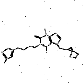 Cc1cc(CCCCn2c(=O)c3c(ncn3CC3CC34CCC4)n(C)c2=O)on1